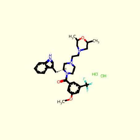 COc1cc(C(=O)N2CCN(CCN3CC(C)OC(C)C3)C[C@H]2Cc2c[nH]c3ccccc23)cc(C(F)(F)F)c1.Cl.Cl